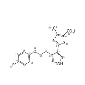 Cc1nc(-c2n[nH]cc2CCOc2ccc(F)cc2)sc1C(=O)O